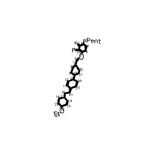 CCCCCc1ccc(OCC2CCC(C3C=CC(CCC4CCC(OCC)CC4)CC3)CC2)c(F)c1F